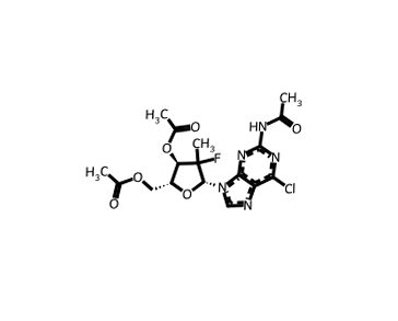 CC(=O)Nc1nc(Cl)c2ncn([C@@H]3O[C@H](COC(C)=O)[C@@H](OC(C)=O)C3(C)F)c2n1